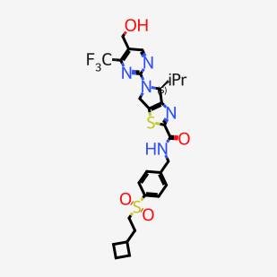 CC(C)[C@H]1c2nc(C(=O)NCc3ccc(S(=O)(=O)CCC4CCC4)cc3)sc2CN1c1ncc(CO)c(C(F)(F)F)n1